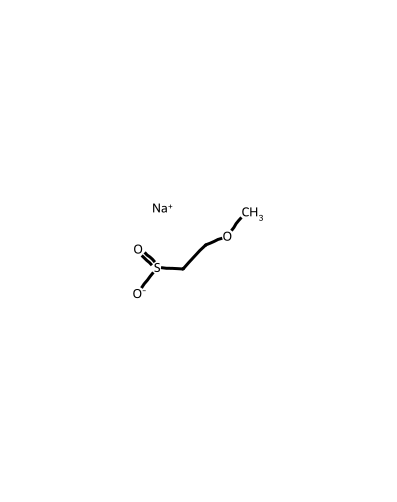 COCCS(=O)[O-].[Na+]